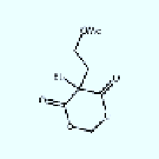 CCC1(CCOC)C(=O)OCOC1=O